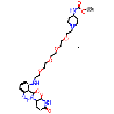 CC(C)(C)OC(=O)NC1CCN(CCOCCOCCOCCOCCNc2cccc3nnn(C4CCC(=O)NC4=O)c(=O)c23)CC1